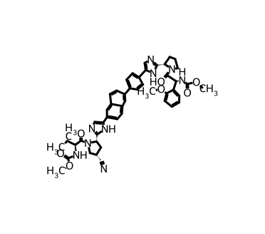 COC(=O)N[C@H](C(=O)N1C[C@@H](C#N)C[C@H]1c1ncc(-c2ccc3cc(-c4ccc(-c5cnc([C@@H]6CCCN6C(=O)[C@H](NC(=O)OC)c6ccccc6OC)[nH]5)cc4)ccc3c2)[nH]1)C(C)C